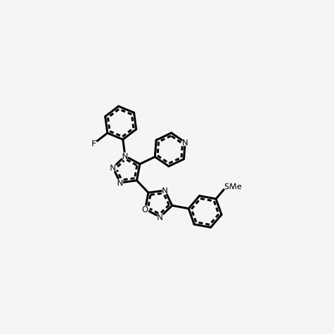 CSc1cccc(-c2noc(-c3nnn(-c4ccccc4F)c3-c3ccncc3)n2)c1